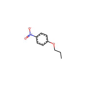 CCCOc1[c]cc([N+](=O)[O-])cc1